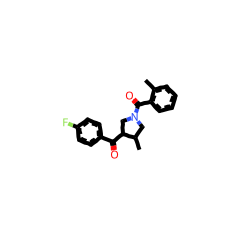 Cc1ccccc1C(=O)N1CC(C)C(C(=O)c2ccc(F)cc2)C1